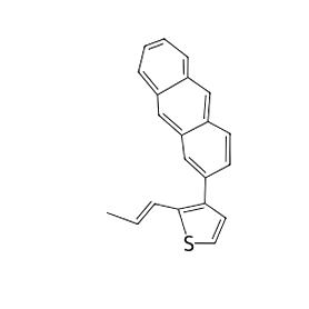 CC=Cc1sccc1-c1ccc2cc3ccccc3cc2c1